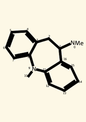 CNC1Cc2ccccc2N(C)c2ccccc21